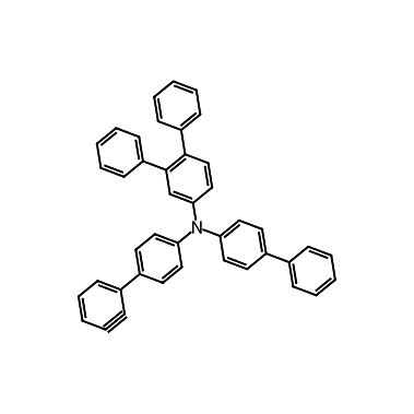 c1cccc(-c2ccc(N(c3ccc(-c4ccccc4)cc3)c3ccc(-c4ccccc4)c(-c4ccccc4)c3)cc2)c#1